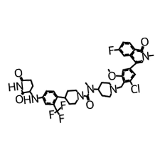 COc1cc(-c2cn(C)c(=O)c3ccc(F)cc23)cc(Cl)c1CN1CCC(N(C)C(=O)N2CCC(c3ccc(NC4CCC(=O)NC4=O)cc3C(F)(F)F)CC2)CC1